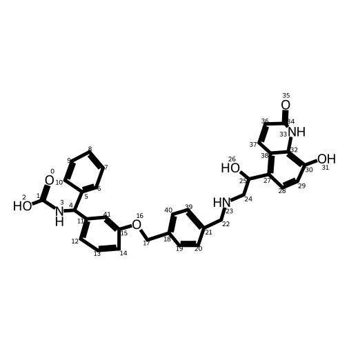 O=C(O)NC(c1ccccc1)c1cccc(OCc2ccc(CNCC(O)c3ccc(O)c4[nH]c(=O)ccc34)cc2)c1